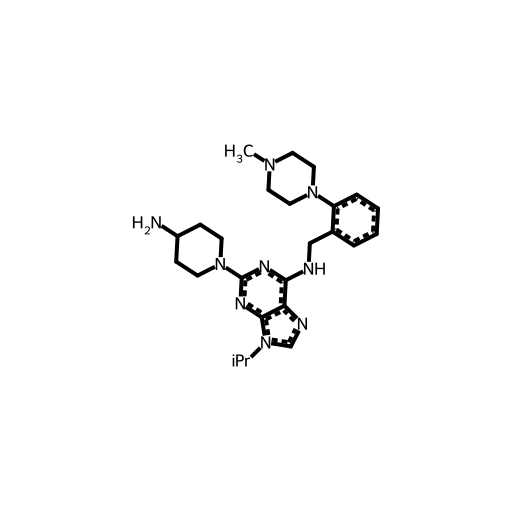 CC(C)n1cnc2c(NCc3ccccc3N3CCN(C)CC3)nc(N3CCC(N)CC3)nc21